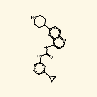 O=C(Nc1cncc(C2CC2)n1)Nc1ccnc2ccc(C3CCNCC3)cc12